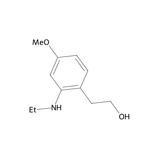 CCNc1cc(OC)ccc1CCO